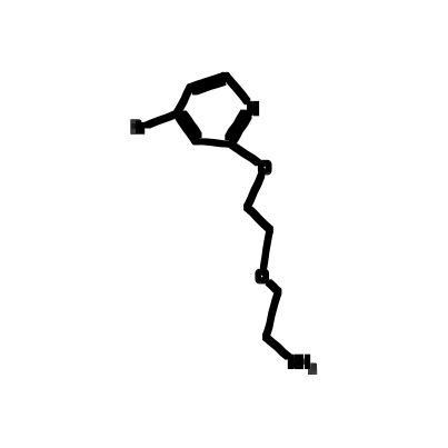 NCCOCCOc1cc(Br)ccn1